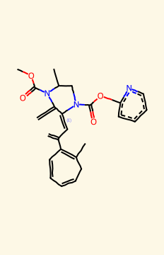 C=C(/C=C1\C(=C)N(C(=O)OC)C(C)CN1C(=O)Oc1ccccn1)C1=C(C)CC=CC=C1